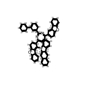 C1=CC(c2ccc3oc4ccccc4c3c2)=NC(c2cccc(-c3ccccc3)c2)=NC=1c1ccc2oc3ccccc3c2c1-n1c2ccccc2c2cc3ccccc3cc21